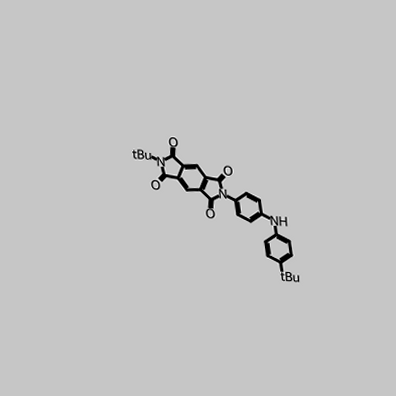 CC(C)(C)c1ccc(Nc2ccc(-n3c(=O)c4cc5c(=O)n(C(C)(C)C)c(=O)c5cc4c3=O)cc2)cc1